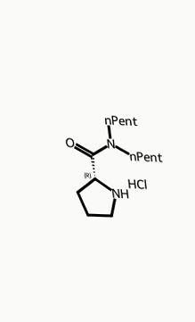 CCCCCN(CCCCC)C(=O)[C@H]1CCCN1.Cl